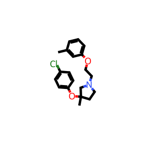 Cc1cccc(OCCN2CCC(C)(Oc3ccc(Cl)cc3)C2)c1